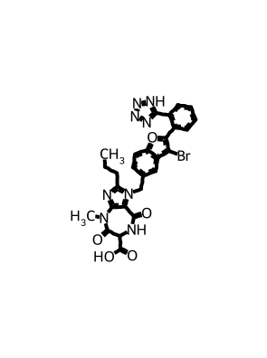 CCCc1nc2c(n1Cc1ccc3oc(-c4ccccc4-c4nnn[nH]4)c(Br)c3c1)C(=O)NC(C(=O)O)C(=O)N2C